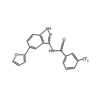 O=C(Nc1n[nH]c2ccc(-c3ccco3)cc12)c1cccc(C(F)(F)F)c1